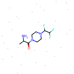 CC(N)C(=O)N1CCN(C(F)C(F)F)CC1